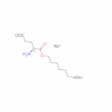 CCCCCCCCCCCCCCCCOC(=O)[C@@H](N)CCC(=O)[O-].[Na+]